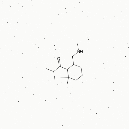 CNCC1CCCC(C)(C)C1C(=O)C(C)C